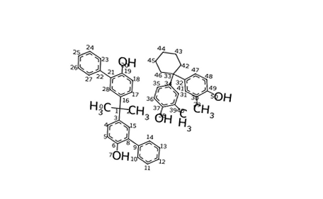 CC(C)(c1ccc(O)c(-c2ccccc2)c1)c1ccc(O)c(-c2ccccc2)c1.Cc1cc(C2(c3ccc(O)c(C)c3)CCCCC2)ccc1O